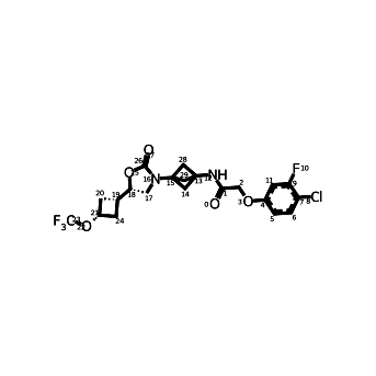 O=C(COc1ccc(Cl)c(F)c1)NC12CC(N3C[C@H]([C@H]4C[C@@H](OC(F)(F)F)C4)OC3=O)(C1)C2